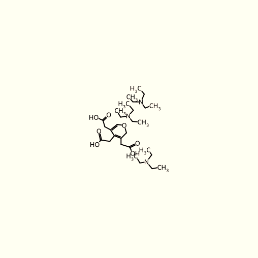 CCN(CC)CC.CCN(CC)CC.CCN(CC)CC.O=C(O)CC1=COCC(CC(=O)O)=C1CC(=O)O